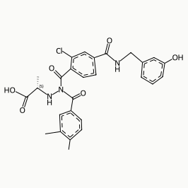 Cc1ccc(C(=O)N(N[C@@H](C)C(=O)O)C(=O)c2ccc(C(=O)NCc3cccc(O)c3)cc2Cl)cc1C